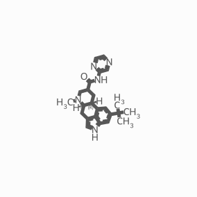 CN1CC(C(=O)Nc2cnccn2)C[C@@H]2c3cc(C(C)(C)C)cc4[nH]cc(c34)C[C@H]21